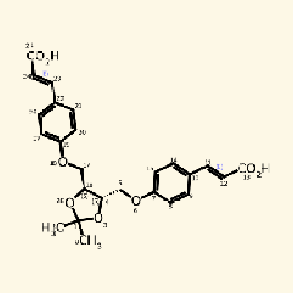 CC1(C)O[C@@H](COc2ccc(/C=C/C(=O)O)cc2)[C@H](COc2ccc(/C=C/C(=O)O)cc2)O1